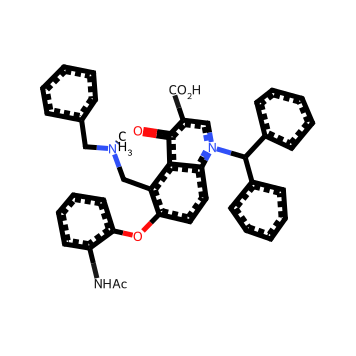 CC(=O)Nc1ccccc1Oc1ccc2c(c1CN(C)Cc1ccccc1)c(=O)c(C(=O)O)cn2C(c1ccccc1)c1ccccc1